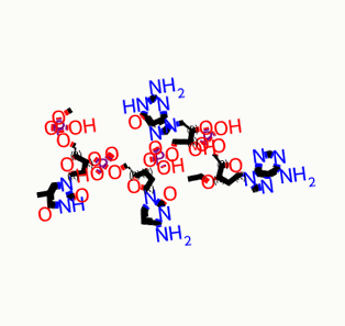 CCO[C@@H]1C[C@H](n2cnc3c(N)ncnc32)O[C@@H]1COP(=O)(O)O[C@H](Cn1cnc2c(=O)[nH]c(N)nc21)[C@H](O)COP(=O)(O)O[C@@H]1C[C@H](n2ccc(N)nc2=O)O[C@@H]1COP(=O)(O)O[C@@H]1C[C@H](n2cc(C)c(=O)[nH]c2=O)O[C@@H]1COP(=O)(O)OC